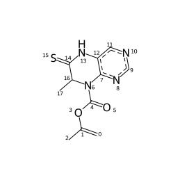 C=C(C)OC(=O)N1c2ncncc2NC(=S)C1C